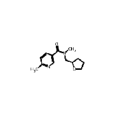 Cc1ccc(C(=O)N(C)CC2CCCO2)cn1